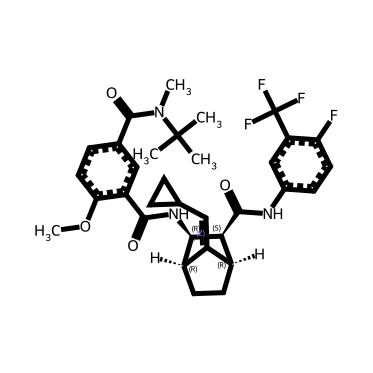 COc1ccc(C(=O)N(C)C(C)(C)C)cc1C(=O)N[C@H]1[C@@H](C(=O)Nc2ccc(F)c(C(F)(F)F)c2)[C@H]2CC[C@@H]1/C2=C\C1CC1